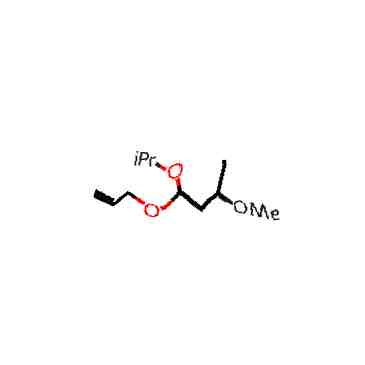 C=CCOC(CC(C)OC)OC(C)C